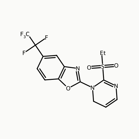 CCS(=O)(=O)C1=NC=CCN1c1nc2cc(C(F)(F)C(F)(F)F)ccc2o1